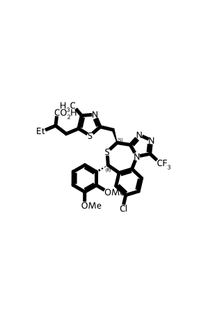 CCC(Cc1sc(C[C@@H]2S[C@@H](c3cccc(OC)c3OC)c3cc(Cl)ccc3-n3c2nnc3C(F)(F)F)nc1C)C(=O)O